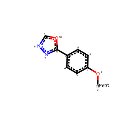 CCCCCOc1ccc(-c2nnco2)cc1